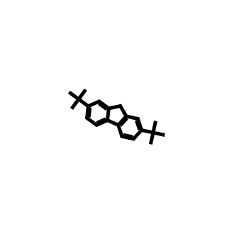 CC(C)(C)c1ccc2c(c1)Cc1cc(C(C)(C)C)ccc1-2